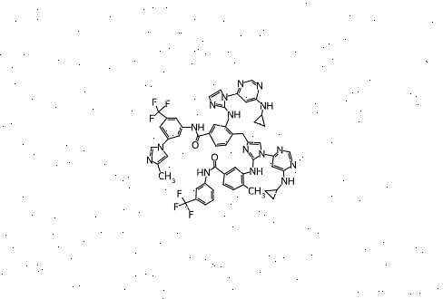 Cc1cn(-c2cc(NC(=O)c3ccc(Cc4cn(-c5cc(NC6CC6)ncn5)c(Nc5cc(C(=O)Nc6cccc(C(F)(F)F)c6)ccc5C)n4)c(Nc4nccn4-c4cc(NC5CC5)ncn4)c3)cc(C(F)(F)F)c2)cn1